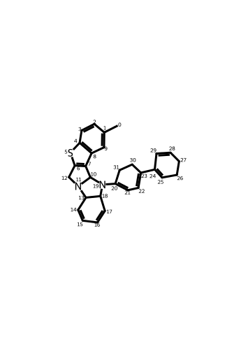 Cc1ccc2sc3c(c2c1)C1N(C3)C2C=CC=CC2N1C1=CC=C(C2=CCCC=C2)CC1